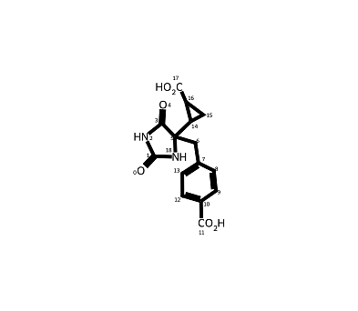 O=C1NC(=O)C(Cc2ccc(C(=O)O)cc2)(C2CC2C(=O)O)N1